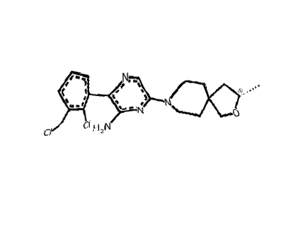 C[C@H]1CC2(CCN(c3cnc(-c4cccc(Cl)c4Cl)c(N)n3)CC2)CO1